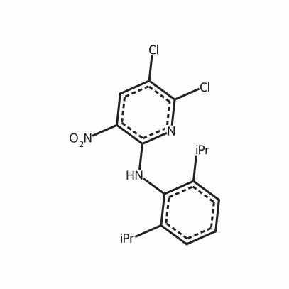 CC(C)c1cccc(C(C)C)c1Nc1nc(Cl)c(Cl)cc1[N+](=O)[O-]